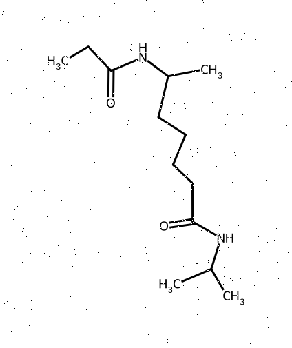 CCC(=O)NC(C)CCCCC(=O)NC(C)C